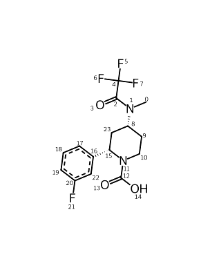 CN(C(=O)C(F)(F)F)[C@@H]1CCN(C(=O)O)[C@H](c2cccc(F)c2)C1